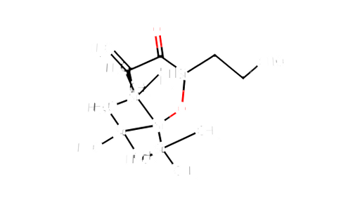 C=C(C)C(=O)[SiH](CCC=O)O[Si]([Si](C)(C)C)([Si](C)(C)C)[Si](C)(C)C